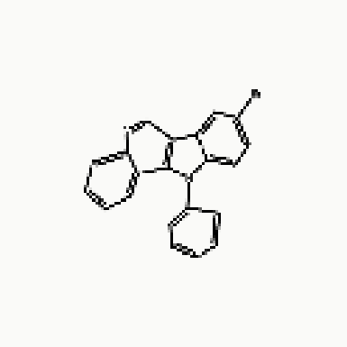 Brc1ccc2c(c1)c1cnc3ccccc3c1n2-c1ccccc1